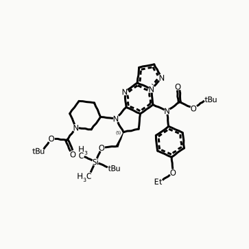 CCOc1ccc(N(C(=O)OC(C)(C)C)c2c3c(nc4ccnn24)N(C2CCCN(C(=O)OC(C)(C)C)C2)[C@H](CO[Si](C)(C)C(C)(C)C)C3)cc1